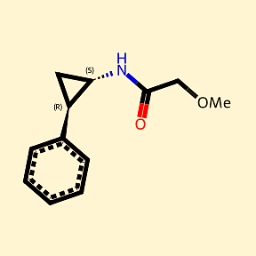 COCC(=O)N[C@H]1C[C@@H]1c1ccccc1